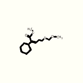 COCOCCC=C(C(=O)OC)C1CCCCC1